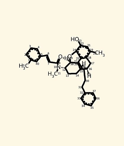 Cc1cccc(C=CC(=O)N(C)[C@H]2CC[C@H]3[C@H]4Cc5c(C)cc(O)c6c5[C@@]3(CCN4CCc3ccccc3)[C@H]2O6)c1